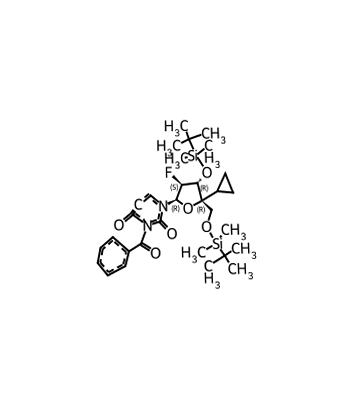 CC(C)(C)[Si](C)(C)OC[C@@]1(C2CC2)O[C@@H](n2ccc(=O)n(C(=O)c3ccccc3)c2=O)[C@@H](F)[C@@H]1O[Si](C)(C)C(C)(C)C